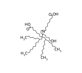 CCCCCCCCC(CCCCCC)CC(CCCCCCC(=O)O)(CC(CCCCCC)CCCCCCCC)C1(CCCCO)CCN1CCCCCCCC(=O)O